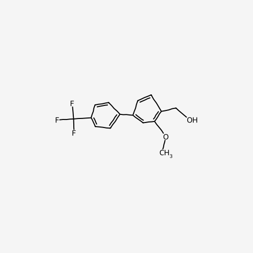 COc1cc(-c2ccc(C(F)(F)F)cc2)ccc1CO